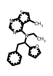 CCN(c1ncnc2scc(C)c12)C(Cc1ccccc1)c1ccco1